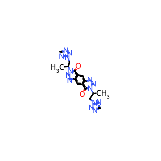 CC(Cn1ncnn1)n1nnc2cc3c(=O)n(C(C)Cn4ncnn4)nnc3cc2c1=O